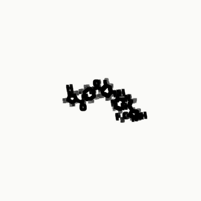 Cc1cc(Nc2nccn3c(-c4c[nH]nc4C(F)(F)F)cnc23)ccc1C(=O)N1CCN(C(=O)[C@H]2CCNC2)CC1